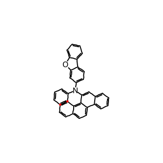 c1ccc(N(c2ccc3c(c2)oc2ccccc23)c2cc3ccccc3c3ccc4ccccc4c23)cc1